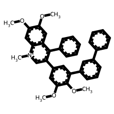 COc1cc2c(-c3ccccc3)c(-c3cc(OC)c(OC)c(-c4cccc(-c5ccccc5)c4)c3)c[n+](C)c2cc1OC